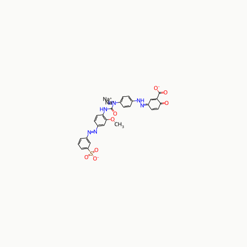 COc1cc(N=Nc2cccc(S(=O)(=O)[O-])c2)ccc1NC(=O)Nc1ccc(N/N=C2/C=CC(=O)C(C(=O)[O-])=C2)cc1.[Na+].[Na+]